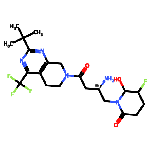 CC(C)(C)c1nc2c(c(C(F)(F)F)n1)CCN(C(=O)C[C@H](N)CN1C(=O)CCC(F)C1O)C2